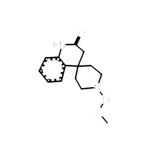 COBN1CCC2(CC1)CC(=O)Nc1ccccc12